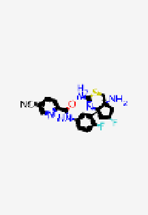 N#Cc1ccc(C(=O)Nc2ccc(F)c([C@]34C[C@H](F)C[C@@]3(N)CSC(N)=N4)c2)nc1